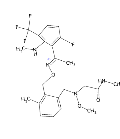 CNC(=O)CN(Cc1cccc(C)c1CO/N=C(\C)c1c(F)ccc(C(F)(F)F)c1NC)OC